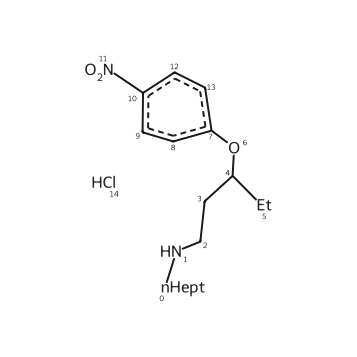 CCCCCCCNCCC(CC)Oc1ccc([N+](=O)[O-])cc1.Cl